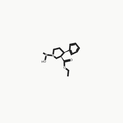 CCOC(=O)[C@H]1CN(B(C)O)CC[C@H]1c1ccccc1